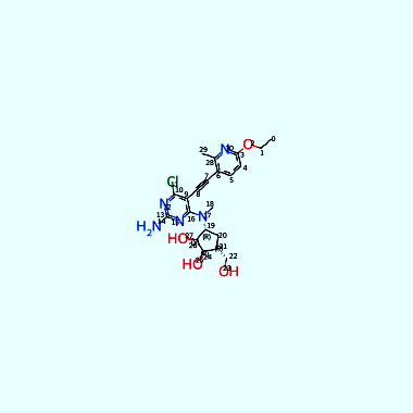 CCOc1ccc(C#Cc2c(Cl)nc(N)nc2N(C)[C@@H]2C[C@H](CO)[C@@H](O)[C@H]2O)c(C)n1